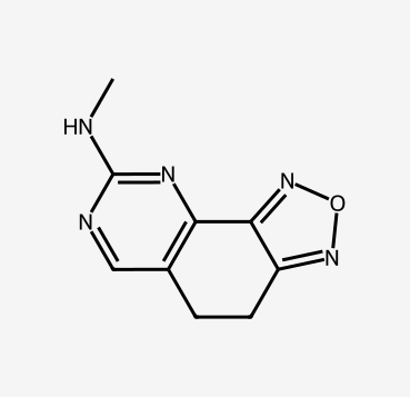 CNc1ncc2c(n1)-c1nonc1CC2